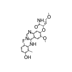 COCCC(Oc1cc2ncnc(Nc3c(F)ccc(O)c3C)c2cc1OC)C(N)=O